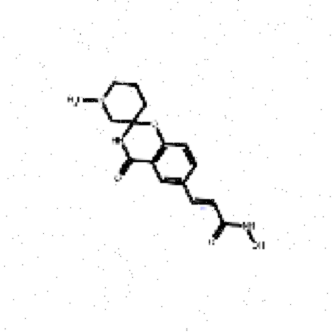 CN1CCCC2(C1)NC(=O)c1cc(/C=C/C(=O)NO)ccc1O2